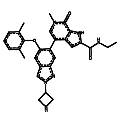 CCNC(=O)c1cc2c(-c3cc4nn(C5CNC5)cc4cc3Oc3c(C)cccc3C)cn(C)c(=O)c2[nH]1